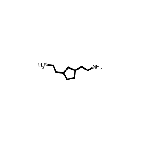 NCCC1CCC(CCN)C1